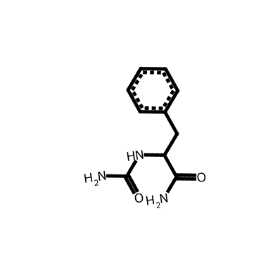 NC(=O)NC(Cc1ccccc1)C(N)=O